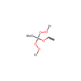 C=CO[Si](OC)(OOCC)OOCC